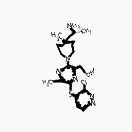 Cc1nc(N2CCC(C)([C@@H](C)N)CC2)c(CO)nc1Sc1ccnnc1Cl